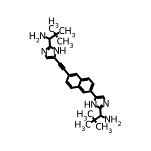 CC(C)(C)C(N)c1ncc(C#Cc2ccc3cc(-c4cnc(C(N)C(C)(C)C)[nH]4)ccc3c2)[nH]1